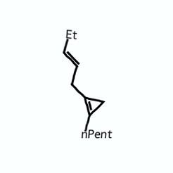 CCC=CCC1=C(CCCCC)C1